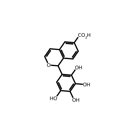 O=C(O)c1ccc2c(c1)C=COC2c1cc(O)c(O)c(O)c1O